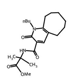 CCCCn1c2c(cc(C(=O)NC(C)(C)C(=O)OC)c1=O)CCCCCC2